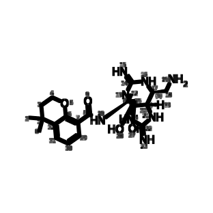 CC1(C)CCOc2c(C(=O)N[C@H]3CN4C(=N)N[C@@H](CN)[C@@H]5NC(=N)N[C@@]54C3(O)O)cccc21